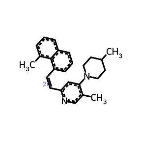 Cc1cnc(/C=C\c2cccc3cccc(C)c23)cc1N1CCC(C)CC1